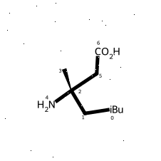 CCC(C)C[C@](C)(N)CC(=O)O